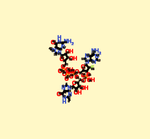 Cc1nc2c(ncn2[C@@H]2O[C@H](COP(=O)(O)OC3[C@@H](COP(=O)(O)OP(=O)(O)OP(=O)(O)OC[C@H]4O[C@@H](n5c[n+](C)c6c(=O)[nH]c(N)nc65)C(O)[C@H]4O)O[C@@H](n4cnc5c(N)ncnc54)[C@H]3F)C(O)[C@@H]2O)c(=O)[nH]1